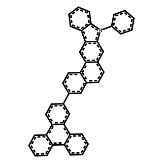 c1ccc(-n2c3ccccc3c3cc4c(ccc5cc(-c6ccc7c8ccccc8c8ccccc8c7c6)ccc54)cc32)cc1